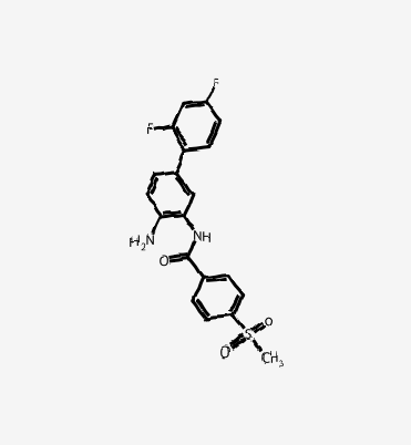 CS(=O)(=O)c1ccc(C(=O)Nc2cc(-c3ccc(F)cc3F)ccc2N)cc1